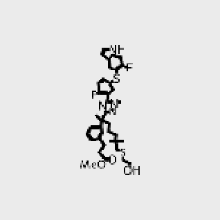 COC(=O)CCc1cccc(C(C)(CCCC(C)(C)CSCCO)c2nc(-c3cc(Sc4cc5cc[nH]c5cc4F)ccc3F)n(C)n2)c1